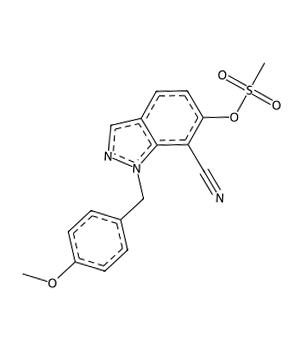 COc1ccc(Cn2ncc3ccc(OS(C)(=O)=O)c(C#N)c32)cc1